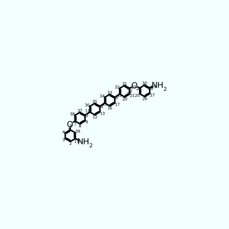 Nc1cccc(Oc2ccc(-c3ccc(-c4ccc(-c5ccc(Oc6cccc(N)c6)cc5)cc4)cc3)cc2)c1